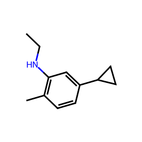 CCNc1cc(C2CC2)ccc1C